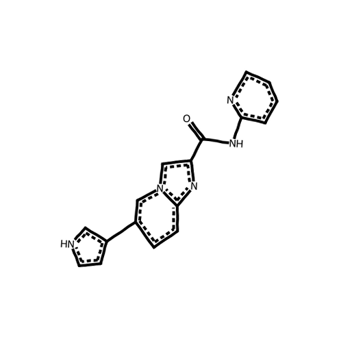 O=C(Nc1ccccn1)c1cn2cc(-c3cc[nH]c3)ccc2n1